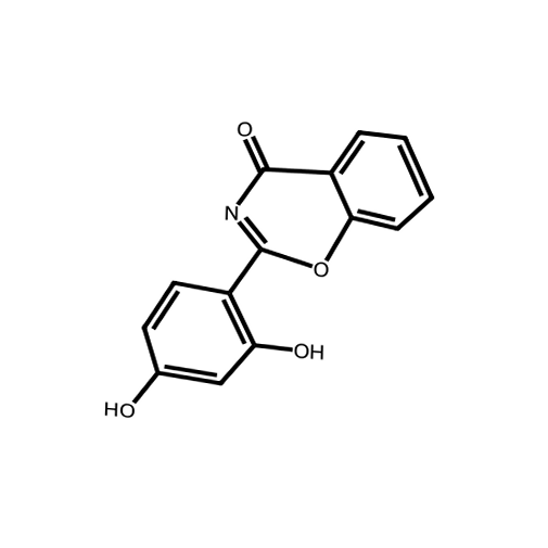 O=c1nc(-c2ccc(O)cc2O)oc2ccccc12